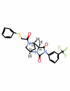 O=C1[C@H]2[C@@H]3C[C@@H](CN3C(=O)CSc3ccccc3)N2C(=O)N1c1cccc(C(F)(F)F)c1